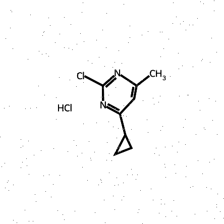 Cc1cc(C2CC2)nc(Cl)n1.Cl